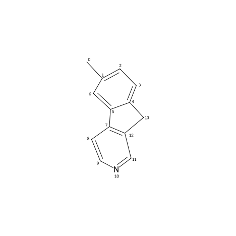 Cc1ccc2c(c1)-c1ccncc1C2